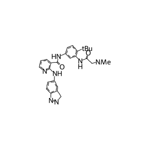 CNCC(=O)Nc1cc(NC(=O)c2cccnc2Nc2ccc3c(c2)CN=N3)ccc1C(C)(C)C